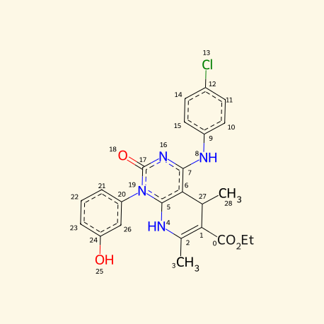 CCOC(=O)C1=C(C)Nc2c(c(Nc3ccc(Cl)cc3)nc(=O)n2-c2cccc(O)c2)C1C